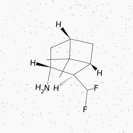 CC1(C)[C@@H]2C[C@@H](N)[C@H](C(F)F)[C@H]1C2